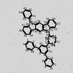 c1ccc(-c2cc(-c3ccccc3)cc(-c3ncnc(-n4c5ccccc5c5cc6c(cc54)c4ccccc4n6-c4ccccc4)n3)c2)cc1